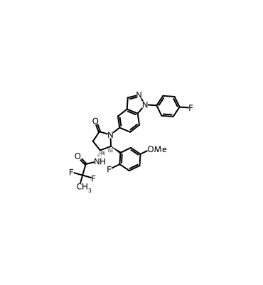 COc1ccc(F)c([C@H]2[C@H](NC(=O)C(C)(F)F)CC(=O)N2c2ccc3c(cnn3-c3ccc(F)cc3)c2)c1